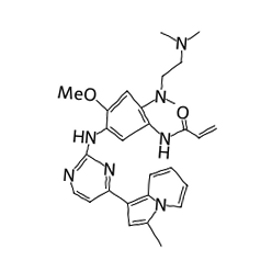 C=CC(=O)Nc1cc(Nc2nccc(-c3cc(C)n4ccccc34)n2)c(OC)cc1N(C)CCN(C)C